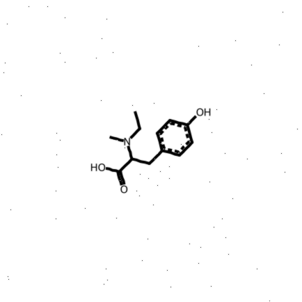 CCN(C)C(Cc1ccc(O)cc1)C(=O)O